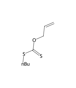 C=CCOC(=S)SCCCC